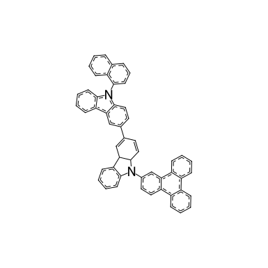 C1=CC2C(C=C1c1ccc3c(c1)c1ccccc1n3-c1cccc3ccccc13)c1ccccc1N2c1ccc2c3ccccc3c3ccccc3c2c1